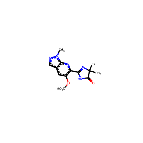 CC(C)C1(C)N=C(c2nc3c(cnn3C)cc2OC(=O)O)NC1=O